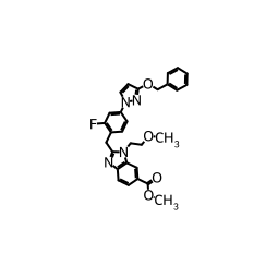 COCCn1c(Cc2ccc(-n3ccc(OCc4ccccc4)n3)cc2F)nc2ccc(C(=O)OC)cc21